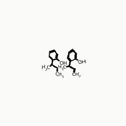 CCC(C)c1ccccc1O.CCC(C)c1ccccc1O